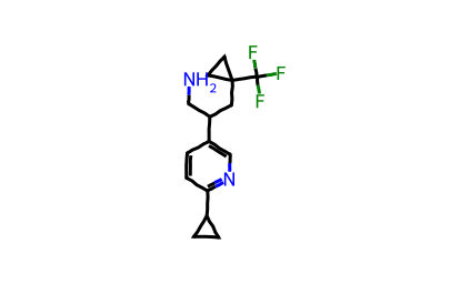 NCC(CC1(C(F)(F)F)CC1)c1ccc(C2CC2)nc1